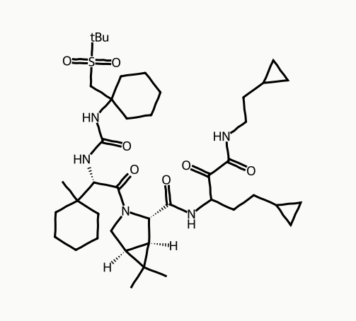 CC1([C@H](NC(=O)NC2(CS(=O)(=O)C(C)(C)C)CCCCC2)C(=O)N2C[C@H]3[C@@H]([C@H]2C(=O)NC(CCC2CC2)C(=O)C(=O)NCCC2CC2)C3(C)C)CCCCC1